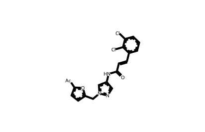 CC(=O)c1ccc(Cn2cc(NC(=O)C=Cc3cccc(Cl)c3Cl)cn2)o1